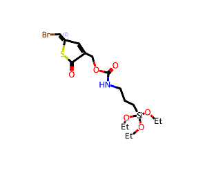 CCO[Si](CCCNC(=O)OCC1=C/C(=C/Br)SC1=O)(OCC)OCC